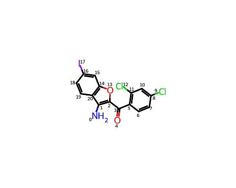 Nc1c(C(=O)c2ccc(Cl)cc2Cl)oc2cc(I)ccc12